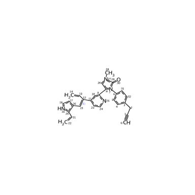 C#CCc1ccc(-n2c(-c3cc(/C(C=C)=C/c4cc[nH]c4C=C)ccn3)cn(C)c2=O)cc1